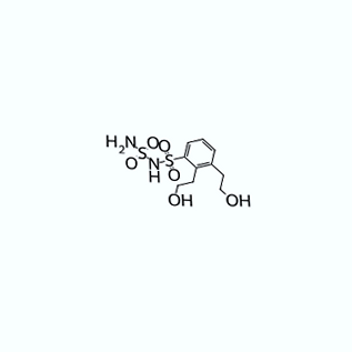 NS(=O)(=O)NS(=O)(=O)c1cccc(CCO)c1CCO